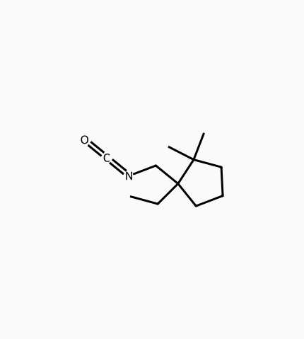 CCC1(CN=C=O)CCCC1(C)C